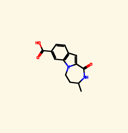 CC1CCn2c(cc3ccc(C(=O)O)cc32)C(=O)N1